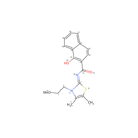 COCCn1c(C)c(C)sc1=NC(=O)c1ccc2ccccc2c1O